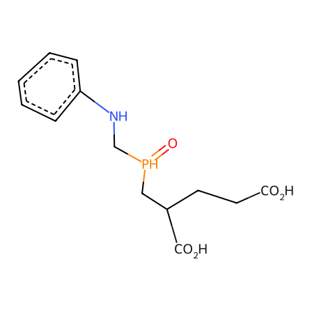 O=C(O)CCC(C[PH](=O)CNc1ccccc1)C(=O)O